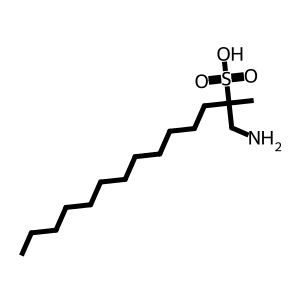 CCCCCCCCCCCCC(C)(CN)S(=O)(=O)O